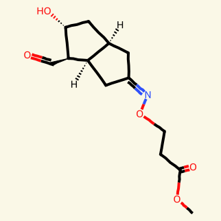 COC(=O)CCON=C1C[C@@H]2C[C@@H](O)[C@H](C=O)[C@@H]2C1